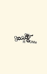 C=CCN1CC[C@@]2(c3cccc(OC)c3)C[C@H](NC(=O)Cc3ccc(Cl)c(Cl)c3)CC(O)[C@@H]2C1